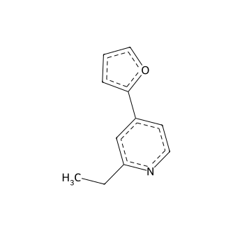 CCc1cc(-c2ccco2)ccn1